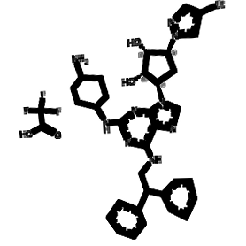 CCc1cnn([C@H]2C[C@@H](n3cnc4c(NCC(c5ccccc5)c5ccccc5)nc(NC5CCC(N)CC5)nc43)[C@H](O)[C@@H]2O)c1.O=C(O)C(F)(F)F